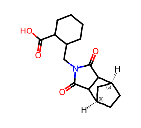 O=C(O)C1CCCCC1CN1C(=O)C2C(C1=O)[C@H]1CC[C@@H]2C1